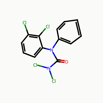 O=C(N(Cl)Cl)N(c1ccccc1)c1cccc(Cl)c1Cl